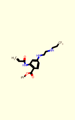 C=CC(=O)Nc1cc(NCCNCCC(F)(F)F)ccc1C(=O)OC(C)C